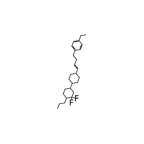 CCCC1CCC(C2CCC(/C=C/CCc3ccc(CC)cc3)CC2)CC1(F)F